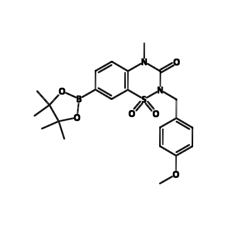 COc1ccc(CN2C(=O)N(C)c3ccc(B4OC(C)(C)C(C)(C)O4)cc3S2(=O)=O)cc1